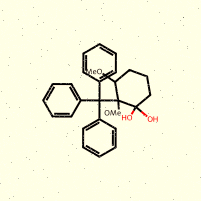 COC1CCCC(O)(O)C1(OC)C(c1ccccc1)(c1ccccc1)c1ccccc1